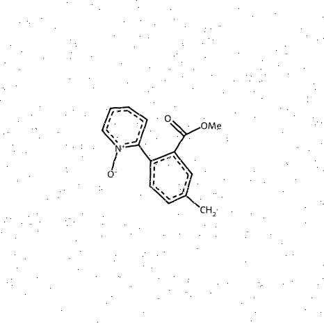 [CH2]c1ccc(-c2cccc[n+]2[O-])c(C(=O)OC)c1